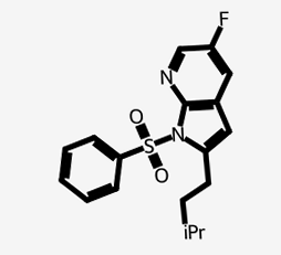 CC(C)CCc1cc2cc(F)cnc2n1S(=O)(=O)c1ccccc1